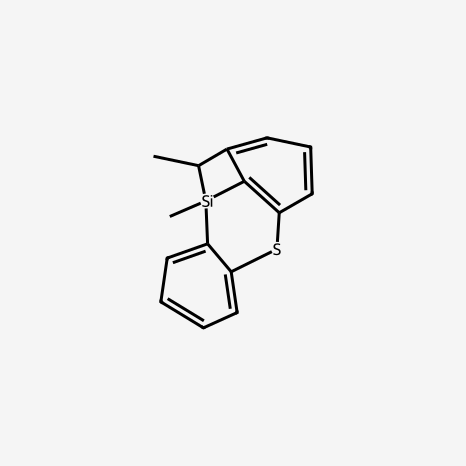 CC1c2cccc3c2[Si]1(C)c1ccccc1S3